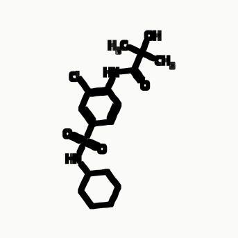 CC(C)(O)C(=O)Nc1ccc(S(=O)(=O)NC2CCCCC2)cc1Cl